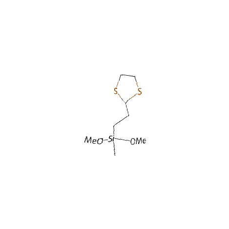 CO[Si](C)(CCC1SCCS1)OC